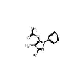 CC(=O)c1nn(-c2ccccc2)c(OC(N)=O)c1C